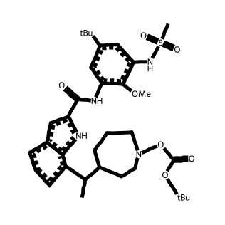 COc1c(NC(=O)c2cc3cccc(C(C)C4CCCN(OC(=O)OC(C)(C)C)CC4)c3[nH]2)cc(C(C)(C)C)cc1NS(C)(=O)=O